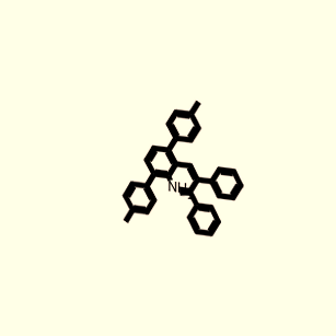 C=C(/C(=C\c1c(-c2ccc(C)cc2)ccc(-c2ccc(C)cc2)c1N)c1ccccc1)c1ccccc1